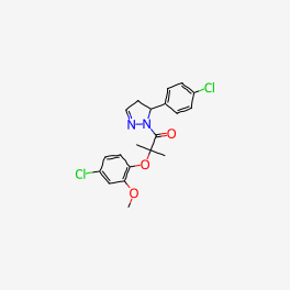 COc1cc(Cl)ccc1OC(C)(C)C(=O)N1N=CCC1c1ccc(Cl)cc1